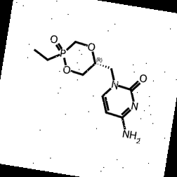 CCP1(=O)CO[C@H](Cn2ccc(N)nc2=O)CO1